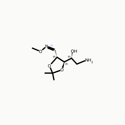 CO/N=C\[C@H]1OC(C)(C)O[C@@H]1[C@H](O)CN